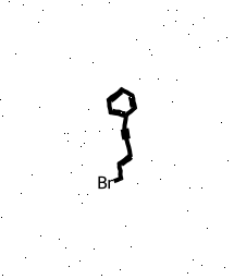 BrCC=CC#Cc1ccccc1